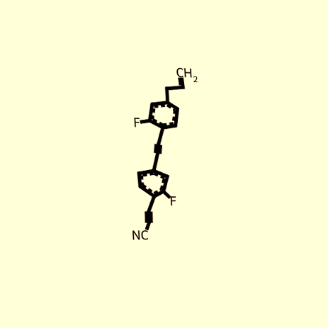 C=CCc1ccc(C#Cc2ccc(C#CC#N)c(F)c2)c(F)c1